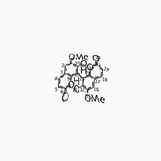 COc1cc2ccc(=O)oc2c(-c2c(O)c(OC)cc3ccc(=O)oc23)c1O